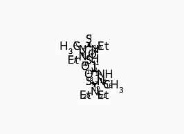 CCNC(=S)N(C)N(CC)S(=O)(=O)CC(=O)NN(C)C(=S)N(CC)CC